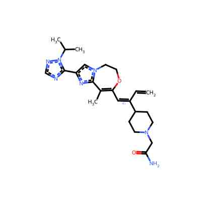 C=C/C(=C\C1=C(C)c2nc(-c3ncnn3C(C)C)cn2CCO1)C1CCN(CC(N)=O)CC1